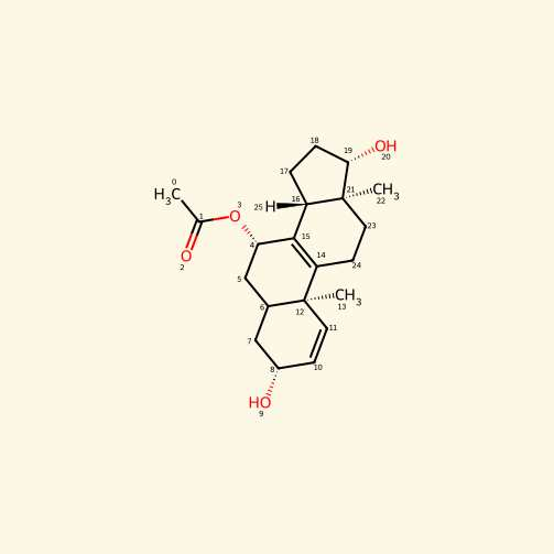 CC(=O)O[C@H]1CC2C[C@@H](O)C=C[C@]2(C)C2=C1[C@@H]1CC[C@H](O)[C@@]1(C)CC2